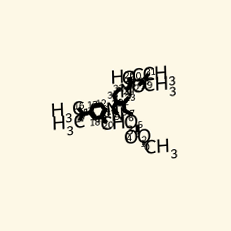 CCOC(=O)COCc1nn(-c2ccc(C(C)C)cc2C)c2c1CN(C(=O)OC(C)(C)C)CC2